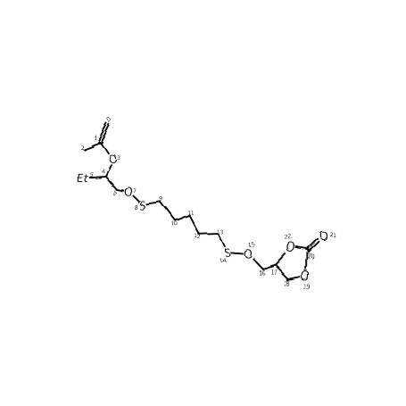 C=C(C)OC(CC)COSCCCCCSOCC1COC(=O)O1